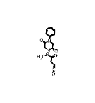 CN(C(=O)CC=C=O)N1CC(=O)N(c2ccccc2)CC1=O